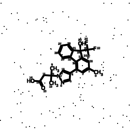 Cc1cc(-c2cnn(C(C)(C)CC(=O)O)c2)c2c(c1)[C@@](O)(C(F)(F)F)c1ccccc1-2